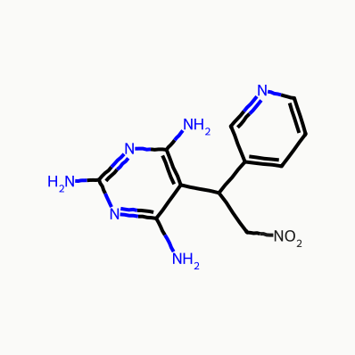 Nc1nc(N)c(C(C[N+](=O)[O-])c2cccnc2)c(N)n1